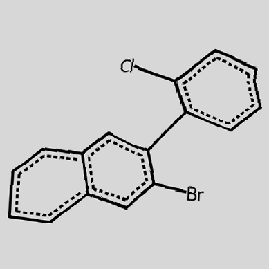 Clc1ccccc1-c1cc2ccccc2cc1Br